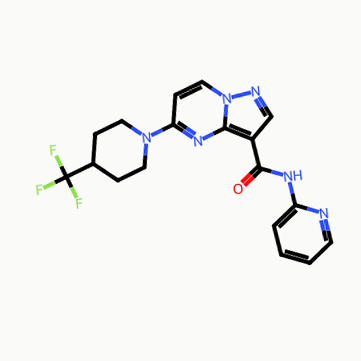 O=C(Nc1ccccn1)c1cnn2ccc(N3CCC(C(F)(F)F)CC3)nc12